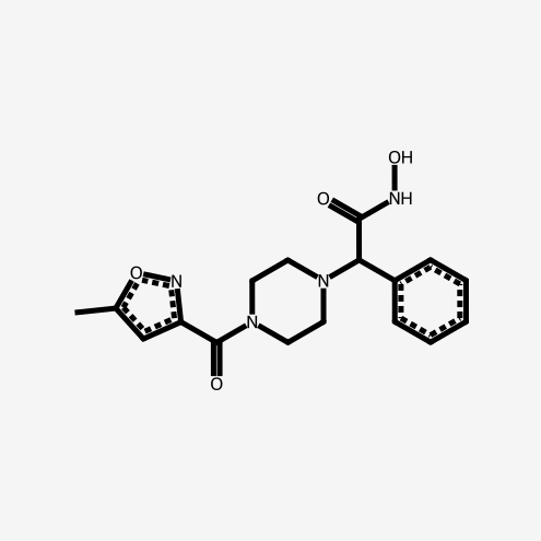 Cc1cc(C(=O)N2CCN(C(C(=O)NO)c3ccccc3)CC2)no1